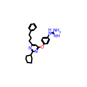 N=C(N)Nc1ccc(Oc2cc(CCCc3ccccc3)nc(C3CCCCC3)n2)cc1